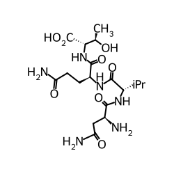 CC(C)[C@H](NC(=O)[C@@H](N)CC(N)=O)C(=O)N[C@@H](CCC(N)=O)C(=O)N[C@H](C(=O)O)[C@@H](C)O